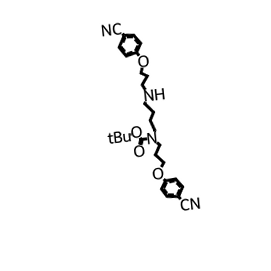 CC(C)(C)OC(=O)N(CCCCNCCCOc1ccc(C#N)cc1)CCCOc1ccc(C#N)cc1